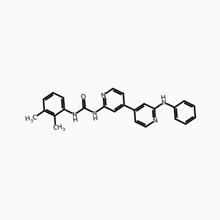 Cc1cccc(NC(=O)Nc2cc(-c3ccnc(Nc4ccccc4)c3)ccn2)c1C